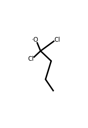 CCCC([O])(Cl)Cl